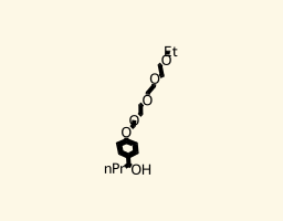 CCCC(O)c1ccc(OCOCCOCCOCCOCC)cc1